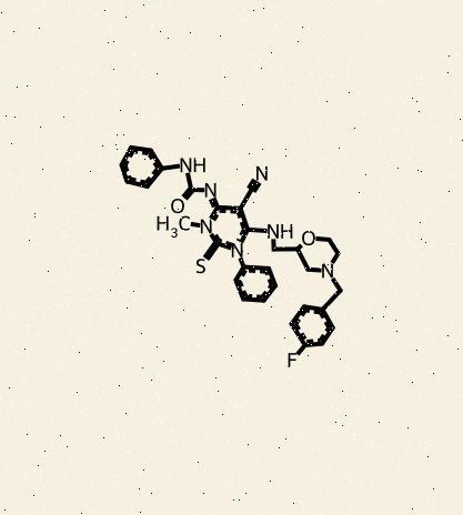 Cn1c(=NC(=O)Nc2ccccc2)c(C#N)c(NCC2CN(Cc3ccc(F)cc3)CCO2)n(-c2ccccc2)c1=S